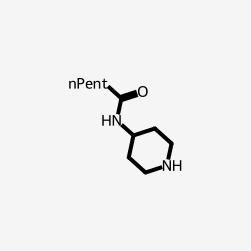 CCCCCC(=O)NC1CCNCC1